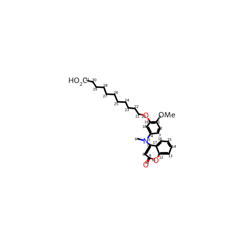 COc1ccc(N(C)c2cc(=O)oc3ccccc23)cc1OCCCCCCCCCCC(=O)O